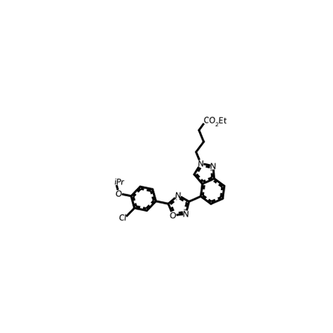 CCOC(=O)CCCn1cc2c(-c3noc(-c4ccc(OC(C)C)c(Cl)c4)n3)cccc2n1